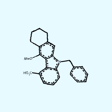 COc1c2c(cc3c1c1c(C(=O)O)cccc1n3Cc1ccccc1)CCCC2